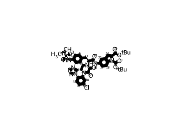 CN(C)S(=O)(=O)Nc1ccc(C[C@@H](C(=O)Nc2ccc3c(c2)cc(C(=O)OC(C)(C)C)n3C(=O)OC(C)(C)C)N2CCN(c3cc(Cl)ccc3-n3cnnn3)C(=O)C2=O)cc1